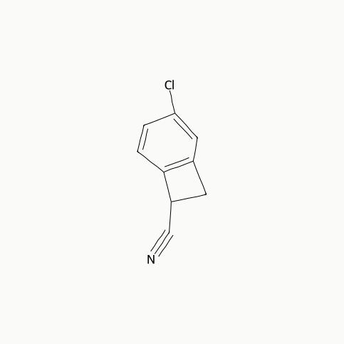 N#CC1Cc2cc(Cl)ccc21